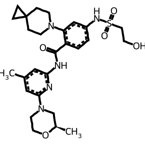 Cc1cc(NC(=O)c2ccc(NS(=O)(=O)CCO)cc2N2CCC3(CC2)CC3)nc(N2CCO[C@H](C)C2)c1